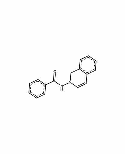 O=C(NN1C=Cc2ccccc2C1)c1ccccc1